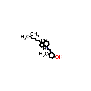 C=C1CC[C@H](O)C/C1=C/C=C1\CCC[C@]2(C)C(CCCCC(C)C)=CC[C@@H]12